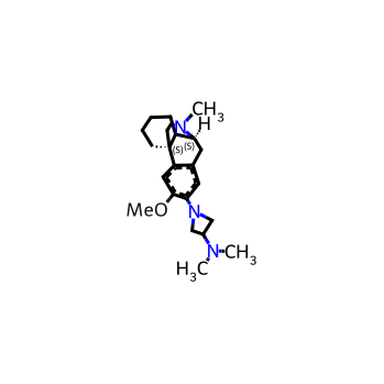 COc1cc2c(cc1N1CC(N(C)C)C1)C[C@H]1C3CCCC[C@@]23CCN1C